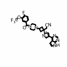 N#CCC1(n2cc(-c3ncnc4[nH]ccc34)cn2)CC(N2CCN(C(=O)c3ccc(F)c(OC(F)(F)F)c3)CC2)C1